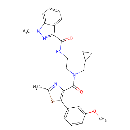 COc1cccc(-c2sc(C)nc2C(=O)N(CCNC(=O)c2nn(C)c3ccccc23)CC2CC2)c1